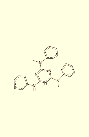 CN(c1ccccc1)c1nc(Nc2ccccc2)nc(N(C)c2ccccc2)n1